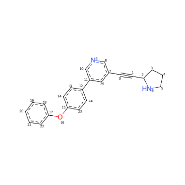 C(#CC1CCCN1)c1cncc(-c2ccc(Oc3ccccc3)cc2)c1